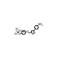 CCC(C)(Oc1ccc(OCc2cc(-c3ccc([N+](=O)[O-])cc3)no2)cc1)C(=O)O